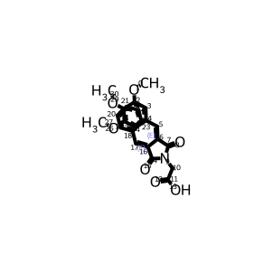 COc1cc(/C=C2/C(=O)N(CC(=O)O)C(=O)/C2=C/c2ccccc2)cc(OC)c1OC